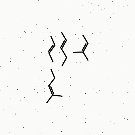 C/C=C/C.C/C=C/CC.CC=C(C)C.CCC=C(C)C